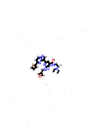 CCN(CC)[C@@H](C)CNC(=O)c1cc(NCC2COC2)nc(-c2cnn3ccc(-c4cccs4)nc23)c1